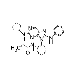 C=CC(=O)Nc1ccccc1-n1c(Nc2ccccc2)nc2cnc(NC3CCCC3)nc21